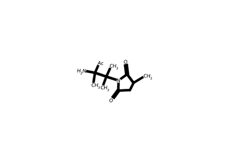 CC(=O)C(C)(N)C(C)(C)N1C(=O)CC(C)C1=O